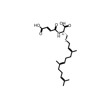 CC(C)=CCCC(C)=CCCC(C)=CCSC[C@H](NC(=O)C=CC(=O)O)C(=O)O